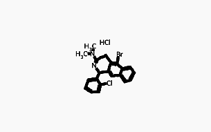 CN(C)C1=NC(c2ccccc2Cl)c2cc3ccccc3c(Br)c2C1.Cl